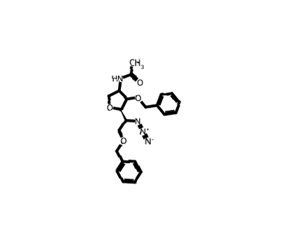 CC(=O)NC1CO[C@H](C(COCc2ccccc2)N=[N+]=[N-])C1OCc1ccccc1